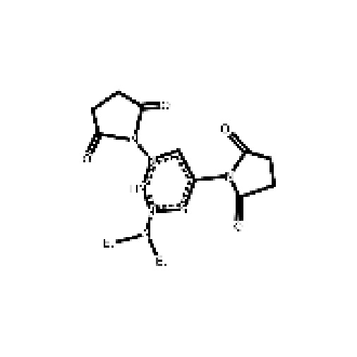 CCN(CC)n1[nH]n(N2C(=O)CCC2=O)cc(N2C(=O)CCC2=O)s1